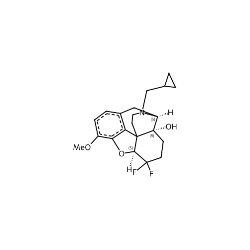 COc1ccc2c3c1O[C@@H]1C(F)(F)CC[C@]4(O)[C@H](C2)N(CC2CC2)CCC314